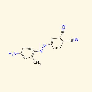 Cc1cc(N)ccc1N=Nc1ccc(C#N)c(C#N)c1